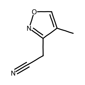 Cc1conc1CC#N